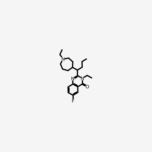 CCCC(c1nc2ccc(F)cc2c(=O)n1CC)C1CCCN(CC)CC1